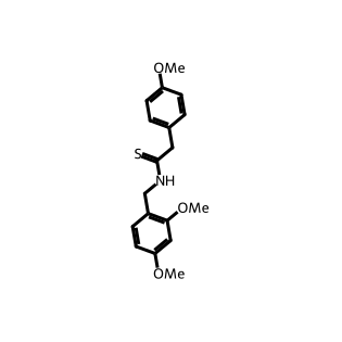 COc1ccc(CC(=S)NCc2ccc(OC)cc2OC)cc1